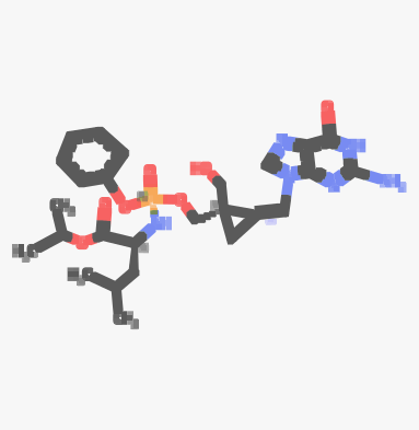 CC(C)C[C@H](N[P@](=O)(OC[C@@]1(CO)C/C1=C/n1cnc2c(=O)[nH]c(N)nc21)Oc1ccccc1)C(=O)OC(C)C